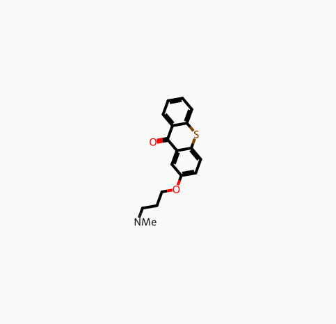 CNCCCOc1ccc2sc3ccccc3c(=O)c2c1